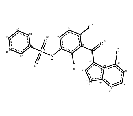 O=C(c1c(F)ccc(NS(=O)(=O)c2cccnc2)c1F)c1c[nH]c2nccc(Cl)c12